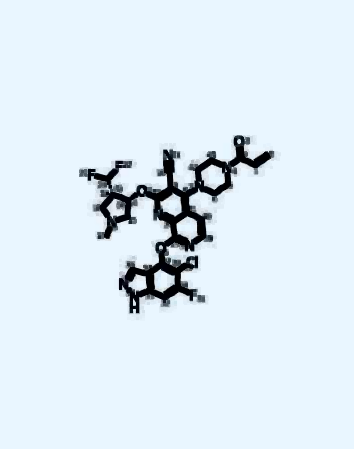 C=CC(=O)N1CCN(c2c(C#N)c(O[C@H]3CN(C)C[C@@H]3C(F)F)nc3c(Oc4c(Cl)c(F)cc5[nH]ncc45)nccc23)CC1